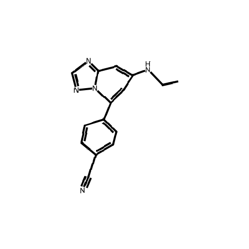 CCNc1cc(-c2ccc(C#N)cc2)n2ncnc2c1